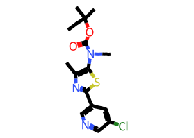 Cc1nc(-c2cncc(Cl)c2)sc1N(C)C(=O)OC(C)(C)C